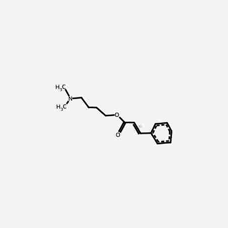 CN(C)CCCCOC(=O)/C=C/c1ccccc1